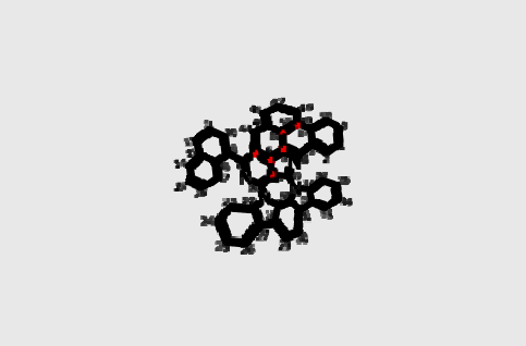 c1ccc2cc(-c3nc(-c4cccc5ccccc45)nc(-n4c5ccccc5c5ccc6c7ccccc7n(-c7nc8c(ccc9ccccc98)s7)c6c54)n3)ccc2c1